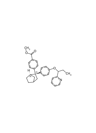 CCC(Oc1ccc([C@@]2(c3ccc(C(=O)OC)cc3)CC3CC[C@@H]2C3)cc1)c1ccccn1